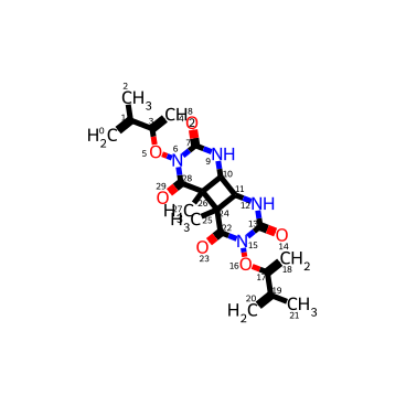 C=C(C)C(=C)ON1C(=O)NC2C3NC(=O)N(OC(=C)C(=C)C)C(=O)C3(C)C2(C)C1=O